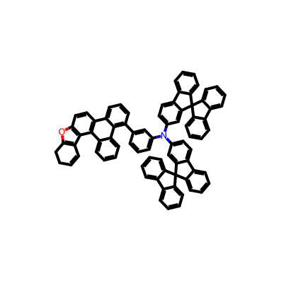 C1=Cc2c(oc3ccc4c5cccc(-c6cccc(N(c7ccc8c(c7)C7(c9ccccc9-c9ccccc97)c7ccccc7-8)c7ccc8c(c7)C7(c9ccccc9-c9ccccc97)c7ccccc7-8)c6)c5c5ccccc5c4c23)CC1